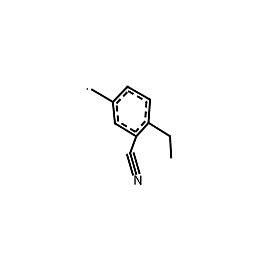 [CH2]c1ccc(CC)c(C#N)c1